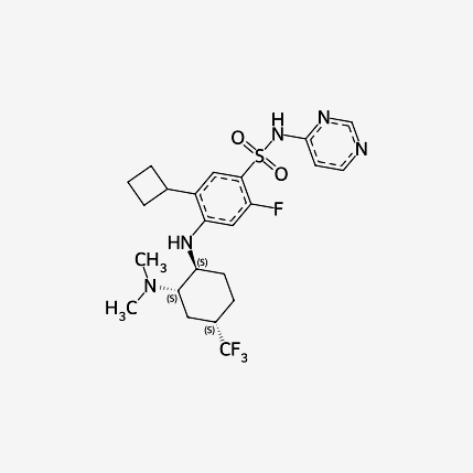 CN(C)[C@H]1C[C@@H](C(F)(F)F)CC[C@@H]1Nc1cc(F)c(S(=O)(=O)Nc2ccncn2)cc1C1CCC1